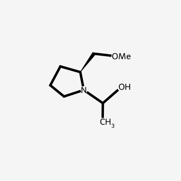 COC[C@@H]1CCCN1C(C)O